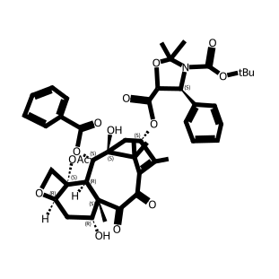 CC(=O)O[C@@]12CO[C@@H]1C[C@@H](O)[C@@]1(C)C(=O)C(=O)C3=C(C)[C@@H](OC(=O)C4OC(C)(C)N(C(=O)OC(C)(C)C)[C@H]4c4ccccc4)C[C@@](O)([C@@H](OC(=O)c4ccccc4)[C@H]21)C3(C)C